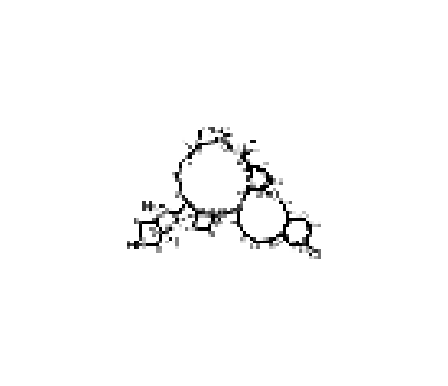 C[C@@H]1[C@@H](C)CCC[C@H]([C@H]2O[C@H]3CNC[C@H]3O2)[C@@H]2CC[C@H]2CN2CCCCc3cc(Cl)ccc3COc3ccc(cc32)C(=O)NS1(=O)=O